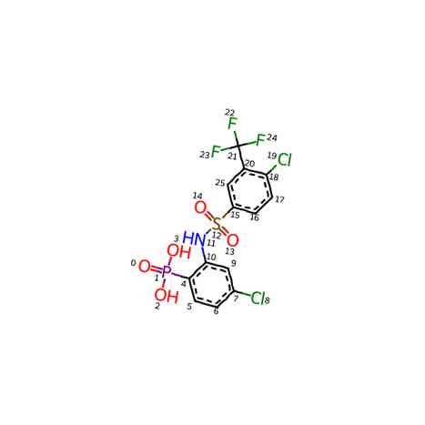 O=P(O)(O)c1ccc(Cl)cc1NS(=O)(=O)c1ccc(Cl)c(C(F)(F)F)c1